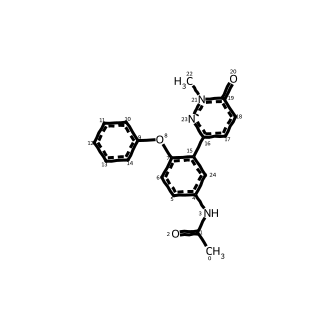 CC(=O)Nc1ccc(Oc2ccccc2)c(-c2ccc(=O)n(C)n2)c1